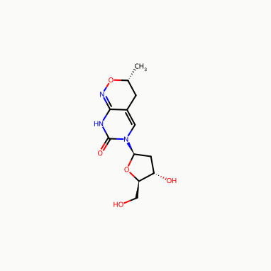 C[C@@H]1CC2=CN([C@H]3C[C@H](O)[C@@H](CO)O3)C(=O)NC2=NO1